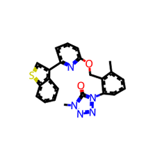 Cc1cccc(-n2nnn(C)c2=O)c1COc1cccc(-c2csc3ccccc23)n1